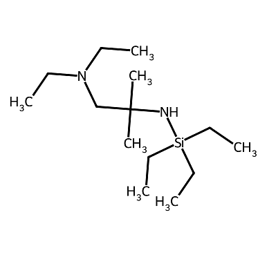 CCN(CC)CC(C)(C)N[Si](CC)(CC)CC